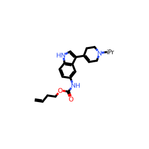 C=CCCOC(=O)Nc1ccc2[nH]cc(C3=CCN(C(C)C)CC3)c2c1